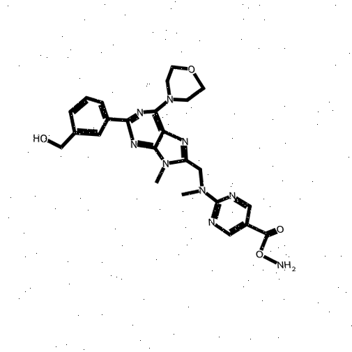 CN(Cc1nc2c(N3CCOCC3)nc(-c3cccc(CO)c3)nc2n1C)c1ncc(C(=O)ON)cn1